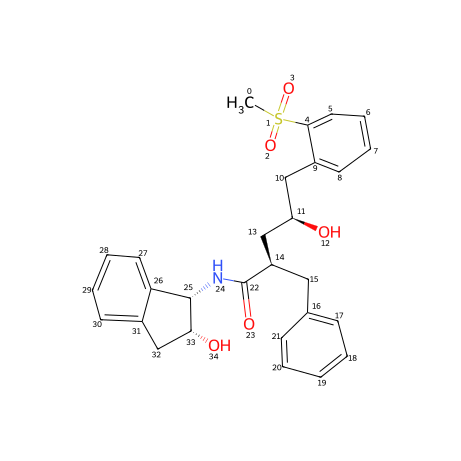 CS(=O)(=O)c1ccccc1C[C@@H](O)C[C@@H](Cc1ccccc1)C(=O)N[C@H]1c2ccccc2C[C@H]1O